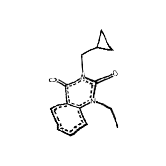 CCn1c(=O)n(CC2CC2)c(=O)c2ccccc21